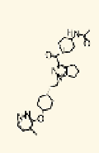 CC(=O)NC1CCN(C(=O)c2nn(CC[C@H]3CC[C@@H](Oc4nnccc4C)CC3)c3c2CCC3)CC1